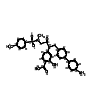 Cc1ccc(S(=O)(=O)N(C)CC(=O)N(Cc2ccc(-c3ccc(N)cc3)cc2)c2ccc(C(=O)O)c(O)c2)cc1